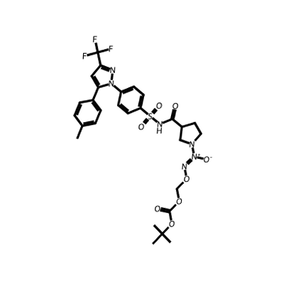 Cc1ccc(-c2cc(C(F)(F)F)nn2-c2ccc(S(=O)(=O)NC(=O)C3CCN([N+]([O-])=NOCOC(=O)OC(C)(C)C)C3)cc2)cc1